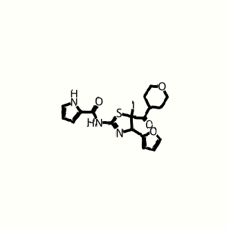 O=C(NC1=NC(c2ccco2)C(I)(C(=O)C2CCOCC2)S1)c1ccc[nH]1